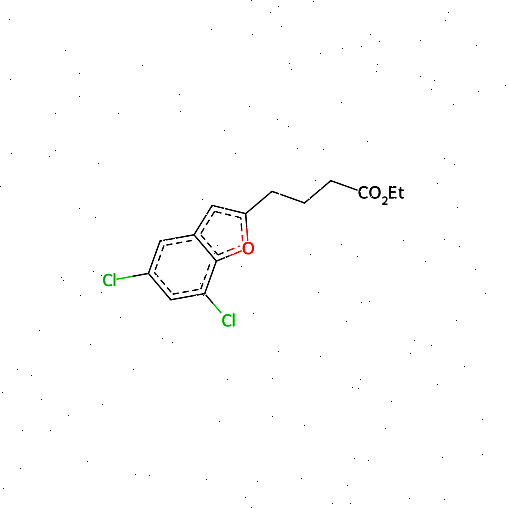 CCOC(=O)CCCc1cc2cc(Cl)cc(Cl)c2o1